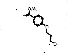 COC(=O)c1ccc(OCCCO)cc1